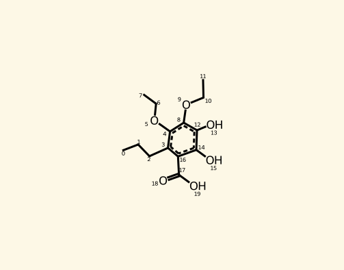 CCCc1c(OCC)c(OCC)c(O)c(O)c1C(=O)O